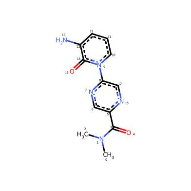 CN(C)C(=O)c1cnc(-n2cccc(N)c2=O)cn1